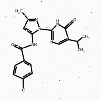 Cc1cc(NC(=O)c2ccc(Cl)cc2)n(-c2ncc(C(C)C)c(=O)[nH]2)n1